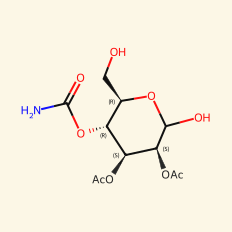 CC(=O)O[C@H]1[C@H](OC(N)=O)[C@@H](CO)OC(O)[C@H]1OC(C)=O